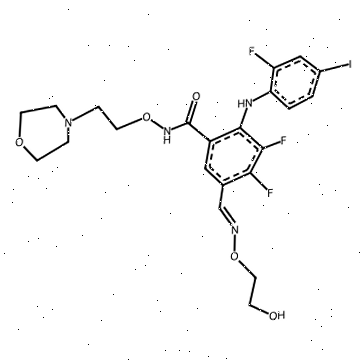 O=C(NOCCN1CCOCC1)c1cc(/C=N/OCCO)c(F)c(F)c1Nc1ccc(I)cc1F